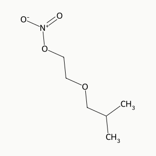 CC(C)COCCO[N+](=O)[O-]